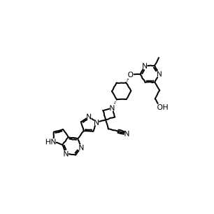 Cc1nc(CCO)cc(O[C@H]2CC[C@@H](N3CC(CC#N)(n4cc(-c5ncnc6[nH]ccc56)cn4)C3)CC2)n1